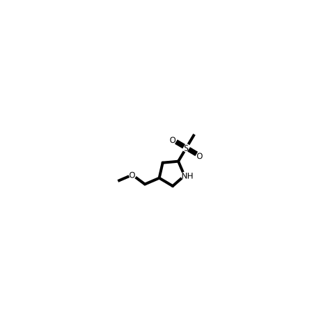 COCC1CNC(S(C)(=O)=O)C1